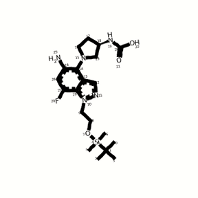 CC(C)(C)[Si](C)(C)OCCn1ncc2c(N3CC[C@@H](NC(=O)O)C3)c(N)cc(F)c21